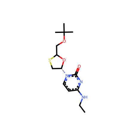 CCNc1ccn([C@@H]2CSC(COC(C)(C)C)O2)c(=O)n1